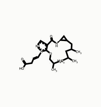 CC(C)COc1c(C(=O)N[C@H]2CC2CC(C)CC(C)C)cnn1/C=C/CC(=O)O